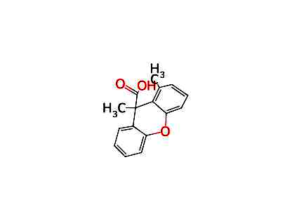 Cc1cccc2c1C(C)(C(=O)O)c1ccccc1O2